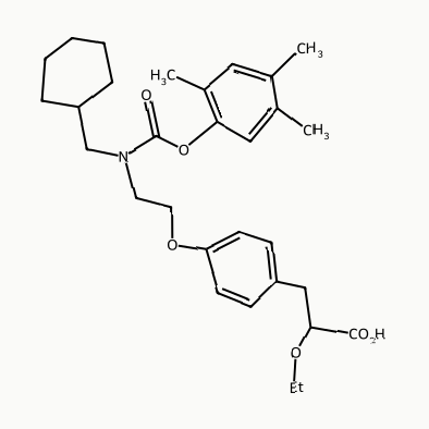 CCOC(Cc1ccc(OCCN(CC2CCCCC2)C(=O)Oc2cc(C)c(C)cc2C)cc1)C(=O)O